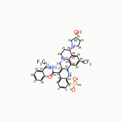 CS(=O)(=O)c1cccc2c(C(=O)N[C@H](c3ccccc3)C(F)(F)F)c(CN3CCC(N4CC[C@@H](O)C4)CC3)c(-c3cccc(C(F)(F)F)c3)nc12